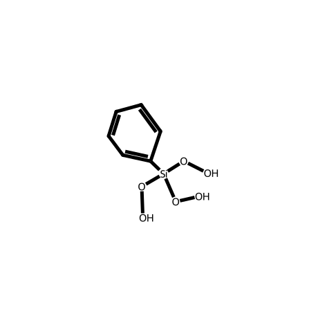 OO[Si](OO)(OO)c1ccccc1